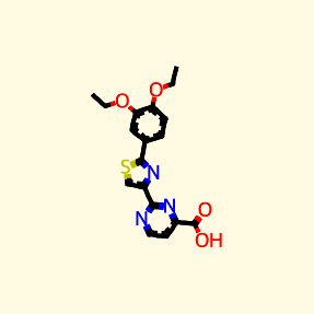 CCOc1ccc(-c2nc(-c3nccc(C(=O)O)n3)cs2)cc1OCC